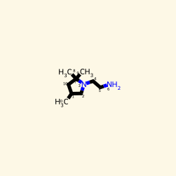 CC1CN(CCN)C(C)(C)C1